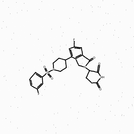 O=C1CCC(N2Cc3c(cc(F)cc3C3CCN(S(=O)(=O)c4cccc(F)c4)CC3)C2=O)C(=O)N1